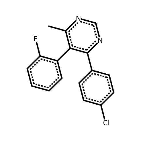 Cc1n[c]nc(-c2ccc(Cl)cc2)c1-c1ccccc1F